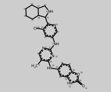 Cc1cnc(Nc2cnc(C3NCC4CCCCC43)c(Cl)c2)nc1Nc1ccc2oc(=O)[nH]c2c1